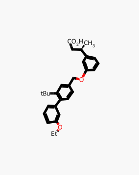 CCOc1cccc(-c2ccc(COc3cccc([C@H](C)CC(=O)O)c3)cc2C(C)(C)C)c1